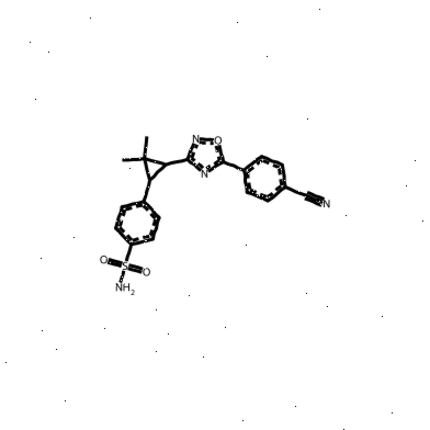 CC1(C)C(c2ccc(S(N)(=O)=O)cc2)C1c1noc(-c2ccc(C#N)cc2)n1